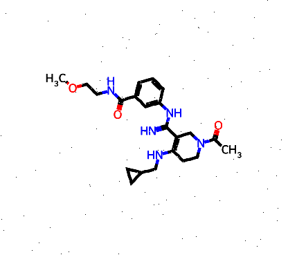 COCCNC(=O)c1cccc(NC(=N)C2=C(NCC3CC3)CCN(C(C)=O)C2)c1